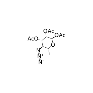 CC(=O)O[C@H]1O[C@H](C)[C@@H](N=[N+]=[N-])[C@H](OC(C)=O)[C@@H]1OC(C)=O